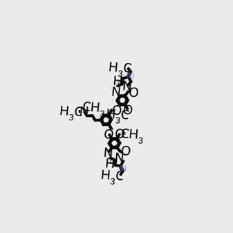 C/C=C1\C[C@H]2C=Nc3cc(OCc4cc(CCCN(C)C)cc(COc5cc6c(cc5OC)C(=O)N5C/C(=C/C)C[C@H]5C=N6)c4)c(OC)cc3C(=O)N2C1